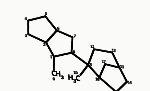 CC1C2CCCC2CC1C1(C)CCC2CCC1C2